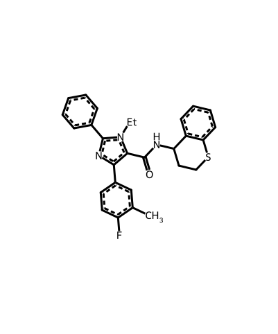 CCn1c(-c2ccccc2)nc(-c2ccc(F)c(C)c2)c1C(=O)NC1CCSc2ccccc21